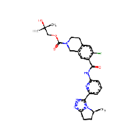 C[C@H]1CCc2nnc(-c3cccc(NC(=O)c4cc5c(cc4F)CCN(C(=O)OCC(C)(C)O)C5)n3)n21